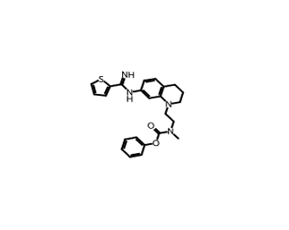 CN(CCN1CCCc2ccc(NC(=N)c3cccs3)cc21)C(=O)Oc1ccccc1